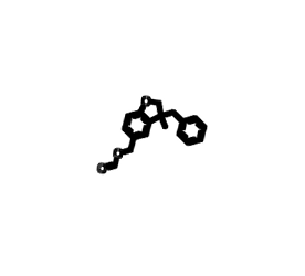 CC1(Cc2ccccc2)COc2ccc(COC=O)cc21